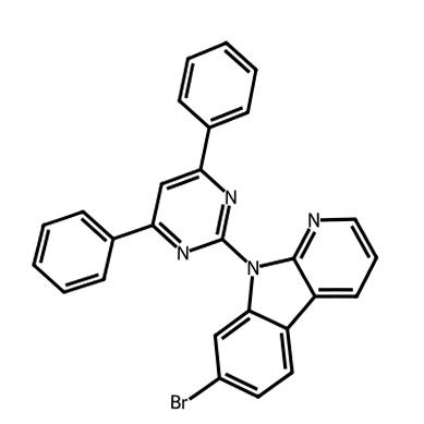 Brc1ccc2c3cccnc3n(-c3nc(-c4ccccc4)cc(-c4ccccc4)n3)c2c1